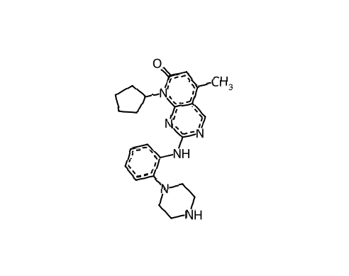 Cc1cc(=O)n(C2CCCC2)c2nc(Nc3ccccc3N3CCNCC3)ncc12